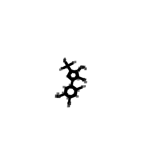 Cn1c(C(F)(F)F)cc(-c2cc(O)c(Cl)cc2F)c1Br